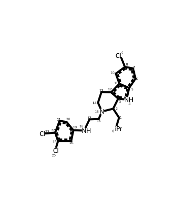 CC(C)CC1c2[nH]c3ccc(Cl)cc3c2CCN1CCNc1ccc(Cl)c(Cl)c1